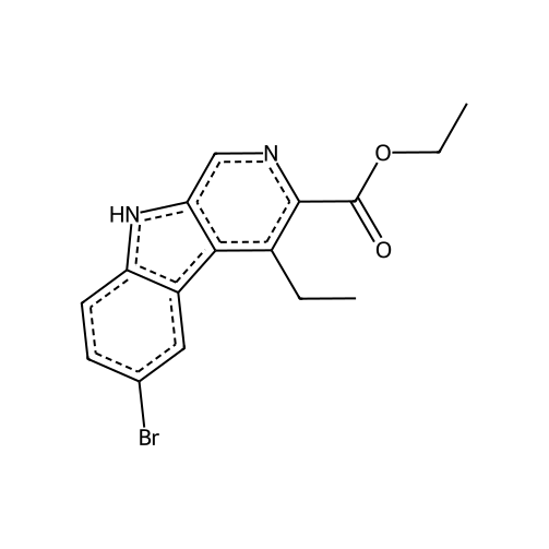 CCOC(=O)c1ncc2[nH]c3ccc(Br)cc3c2c1CC